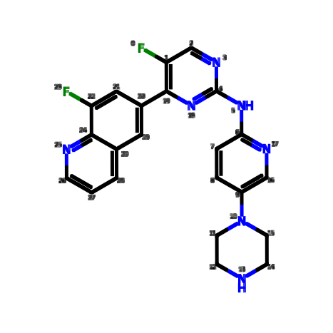 Fc1cnc(Nc2ccc(N3CCNCC3)cn2)nc1-c1cc(F)c2ncccc2c1